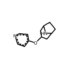 c1cc(OC2CC3CCC(C2)N3)ccn1